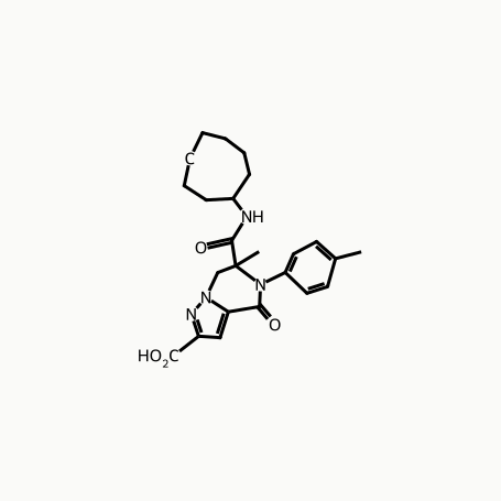 Cc1ccc(N2C(=O)c3cc(C(=O)O)nn3CC2(C)C(=O)NC2CCCCCCC2)cc1